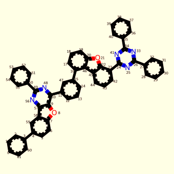 c1ccc(-c2ccc3oc4c(-c5cccc(-c6cccc7oc8c(-c9nc(-c%10ccccc%10)nc(-c%10ccccc%10)n9)cccc8c67)c5)nc(-c5ccccc5)nc4c3c2)cc1